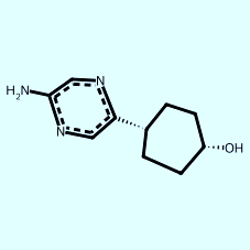 Nc1cnc([C@H]2CC[C@@H](O)CC2)cn1